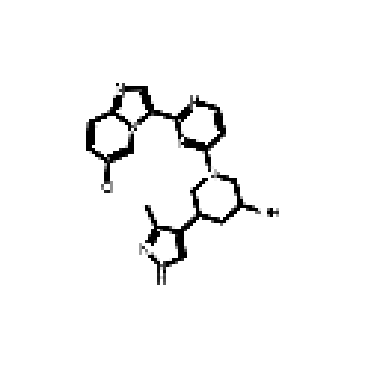 Cc1n[nH]cc1C1CC(O)CN(c2ccnc(-c3cnc4ccc(Cl)cn34)n2)C1